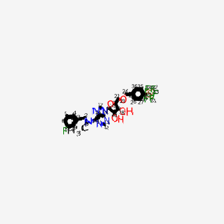 CN(Cc1cccc(F)c1)c1ncnc2c1ncn2[C@@H]1OC(COCc2ccc(S(F)(F)(F)(F)F)cc2)[C@@H](O)[C@H]1O